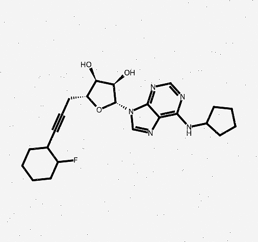 O[C@@H]1[C@H](O)[C@@H](CC#CC2CCCCC2F)O[C@H]1n1cnc2c(NC3CCCC3)ncnc21